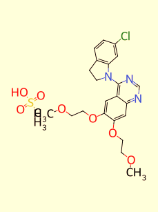 COCCOc1cc2ncnc(N3CCc4ccc(Cl)cc43)c2cc1OCCOC.CS(=O)(=O)O